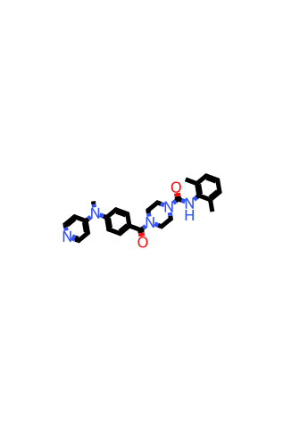 Cc1cccc(C)c1NC(=O)N1CCN(C(=O)c2ccc(N(C)c3ccncc3)cc2)CC1